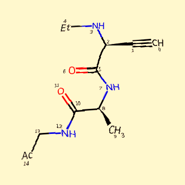 C#C[C@H](NCC)C(=O)N[C@@H](C)C(=O)NCC(C)=O